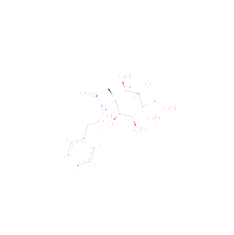 O=C1C[C@@]2([C@H](O)[C@H](O)[C@](O)(CO)C(=O)[C@@H]2O)N1OCc1ccccc1